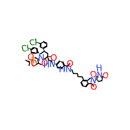 CC(C)[C@@H](CS(=O)(=O)C(C)C)N1C(=O)[C@@](C)(CC(=O)Nc2ccc(C(=O)NCCCCCc3cccc4c3CN(C3CCC(=O)NC3=O)C4=O)cc2)C[C@H](c2cccc(Cl)c2)[C@H]1c1ccc(Cl)cc1